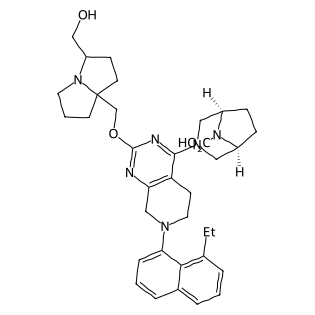 CCc1cccc2cccc(N3CCc4c(nc(OCC56CCCN5C(CO)CC6)nc4N4C[C@H]5CC[C@@H](C4)N5C(=O)O)C3)c12